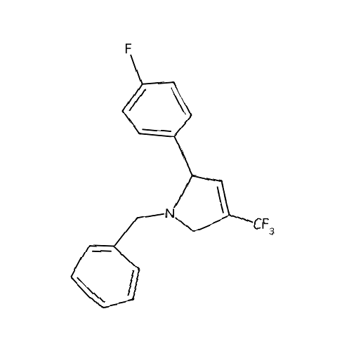 Fc1ccc(C2C=C(C(F)(F)F)CN2Cc2ccccc2)cc1